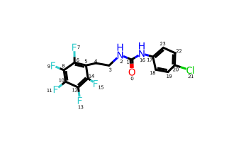 O=C(NCCc1c(F)c(F)c(F)c(F)c1F)Nc1ccc(Cl)cc1